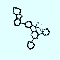 CC1(C)c2ccc(-c3cccc4c3oc3ccccc34)cc2-c2nc(-c3ccccc3)nc(-c3ccccn3)c21